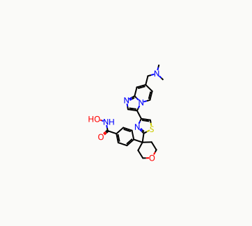 CN(C)Cc1ccn2c(-c3csc(C4(c5ccc(C(=O)NO)cc5)CCOCC4)n3)cnc2c1